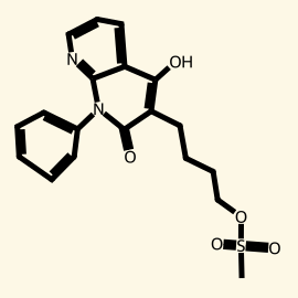 CS(=O)(=O)OCCCCc1c(O)c2cccnc2n(-c2ccccc2)c1=O